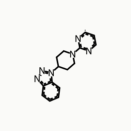 [c]1ccnc(N2CCC(n3nnc4ccccc43)CC2)n1